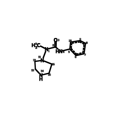 CN(C(=O)Nc1ccccc1)N1CCNCC1